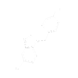 Cc1ccc(Cn2cnc3cc(Br)ccc32)cc1